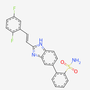 NS(=O)(=O)c1ccccc1-c1ccc2[nH]c(/C=C/c3cc(F)ccc3F)nc2c1